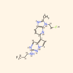 Cc1nc2ccc(-c3ccn4nc(NCCC(F)(F)F)ncc34)nc2n1CCF